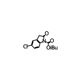 CC(C)COC(=O)N1C(=O)Cc2cc(Cl)ccc21